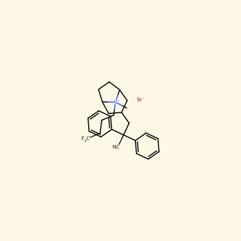 C[N+]1(CCCC(F)(F)F)C2CCC1CC(CC(C#N)(c1ccccc1)c1ccccc1)C2.[Br-]